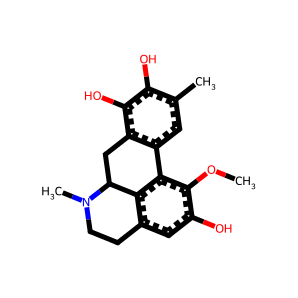 COc1c(O)cc2c3c1-c1cc(C)c(O)c(O)c1CC3N(C)CC2